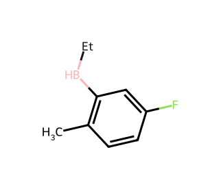 CCBc1cc(F)ccc1C